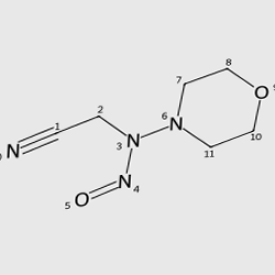 N#CCN(N=O)N1CCOCC1